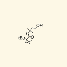 CC(C)(CCO)OC(=O)C1(C(C)(C)C)CC1(C)C